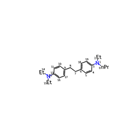 CCCN(CC)c1ccc(CCc2ccc(N(CC)CC)cc2)cc1